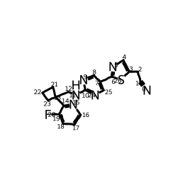 N#CCc1cnc(-c2cnc(NCC3(c4ncccc4F)CCC3)nc2)s1